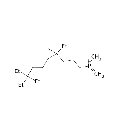 C=[PH](C)CCCC1(CC)CC1CCC(CC)(CC)CC